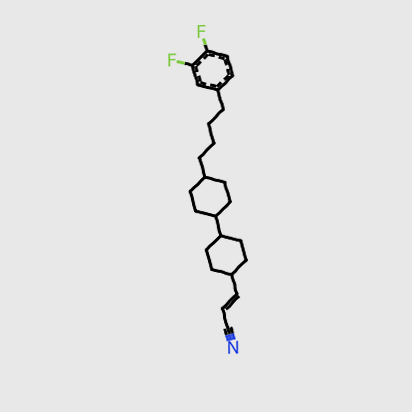 N#CC=CC1CCC(C2CCC(CCCCc3ccc(F)c(F)c3)CC2)CC1